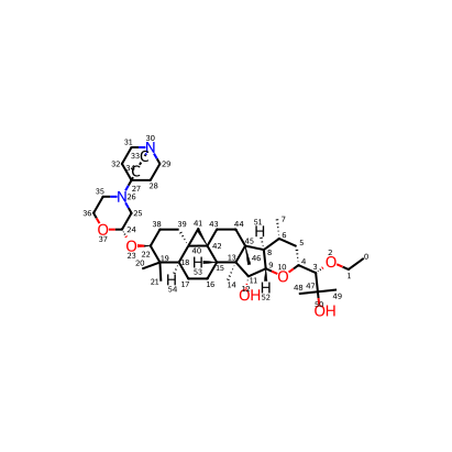 CCO[C@@H]([C@H]1C[C@@H](C)[C@H]2[C@H](O1)[C@H](O)[C@@]1(C)[C@@H]3CC[C@H]4C(C)(C)[C@@H](O[C@H]5CN(C67CCN(CC6)CC7)CCO5)CC[C@@]45C[C@@]35CC[C@]21C)C(C)(C)O